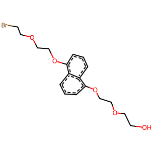 OCCOCCOc1cccc2c(OCCOCCBr)cccc12